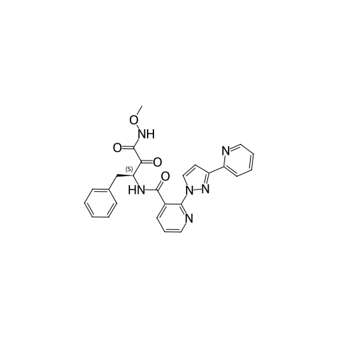 CONC(=O)C(=O)[C@H](Cc1ccccc1)NC(=O)c1cccnc1-n1ccc(-c2ccccn2)n1